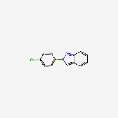 Clc1ccc(-n2cc3ccccc3n2)cc1